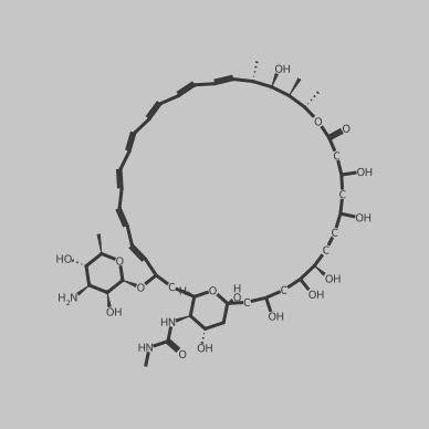 CNC(=O)N[C@H]1[C@@H]2CC(O[C@@H]3O[C@H](C)[C@@H](O)[C@H](N)[C@@H]3O)/C=C/C=C/C=C/C=C/C=C/C=C/C=C/[C@H](C)[C@@H](O)[C@@H](C)[C@H](C)OC(=O)CC(O)CC(O)CC[C@@H](O)C(O)CC(O)C[C@](O)(C[C@@H]1O)O2